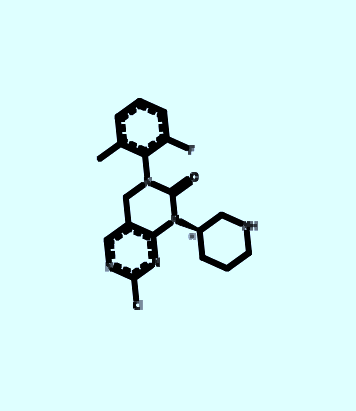 Cc1cccc(F)c1N1Cc2cnc(Cl)nc2N([C@@H]2CCCNC2)C1=O